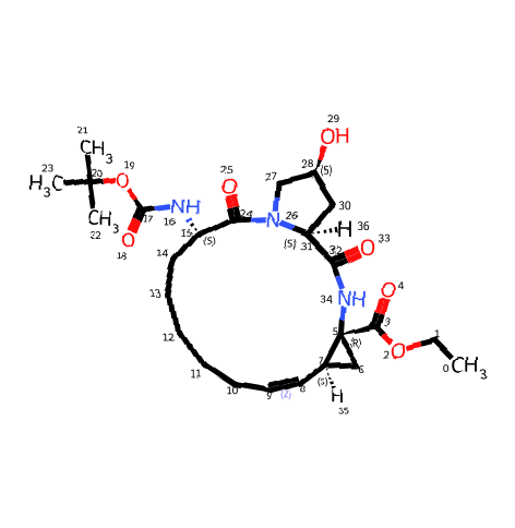 CCOC(=O)[C@@]12C[C@H]1/C=C\CCCCC[C@H](NC(=O)OC(C)(C)C)C(=O)N1C[C@@H](O)C[C@H]1C(=O)N2